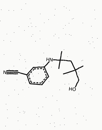 CC(C)(CO)CC(C)(C)Nc1cccc(C#N)c1